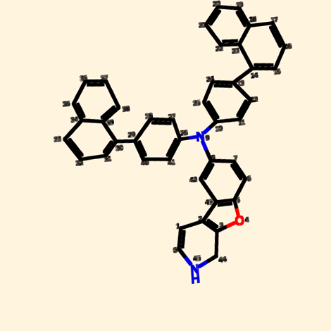 C1=Cc2c(oc3ccc(N(c4ccc(-c5cccc6ccccc56)cc4)c4ccc(-c5cccc6ccccc56)cc4)cc23)CN1